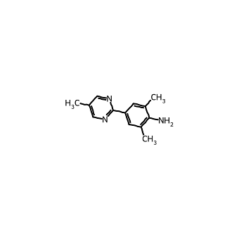 Cc1cnc(-c2cc(C)c(N)c(C)c2)nc1